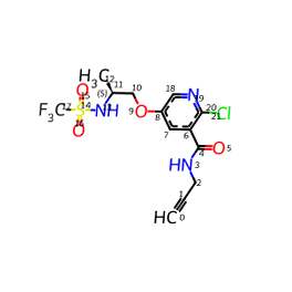 C#CCNC(=O)c1cc(OC[C@H](C)NS(=O)(=O)C(F)(F)F)cnc1Cl